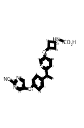 CC(c1ccc(Oc2cnc(C#N)nc2)cc1)c1ccc(OC2CC(NC(=O)O)C2)cn1